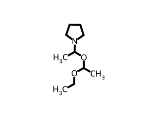 CCOC(C)OC(C)N1CCCC1